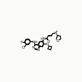 CN(CC=CC(=O)Nc1cc2c(Nc3ccc(F)c(Cl)c3)ncnc2cc1OC1CCC1)[C@H]1CCOC1